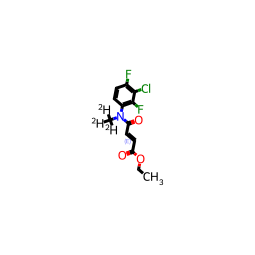 [2H]C([2H])([2H])N(C(=O)/C=C/C(=O)OCC)c1ccc(F)c(Cl)c1F